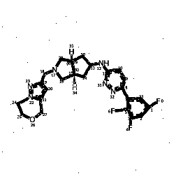 Fc1cc(F)c(F)c(-c2ccc(NC3C[C@@H]4CN(Cc5cc6n(n5)CCOC6)C[C@@H]4C3)nn2)c1